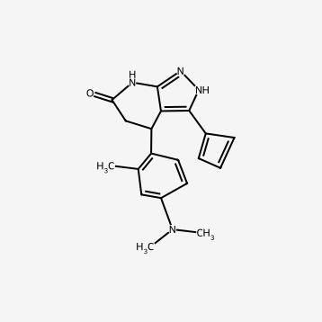 Cc1cc(N(C)C)ccc1C1CC(=O)Nc2n[nH]c(C3=CC=C3)c21